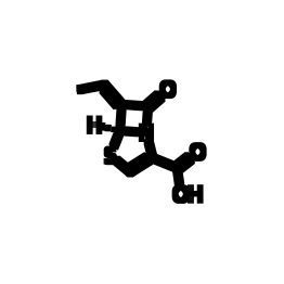 C/C=C1/C(=O)N2C(C(=O)O)=CS[C@@H]12